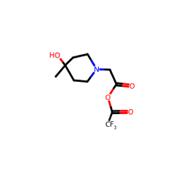 CC1(O)CCN(CC(=O)OC(=O)C(F)(F)F)CC1